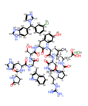 CC(=O)O.CCNC(=O)[C@@H]1CCCN1C(=O)[C@H](CCCNC(=N)N)NC(=O)[C@H](CC(C)C)NC(=O)[C@@H](CC(C)C)NC(=O)[C@H](Cc1ccc(O)cc1)NC(=O)[C@H](CO)NC(=O)[C@H](Cc1c[nH]c2ccccc12)NC(=O)[C@H](Cc1cnc[nH]1)NC(=O)[C@@H]1CCC(=O)N1.Cl.Clc1cccc(C(c2ccc3[nH]cnc3c2)n2ccnc2)c1